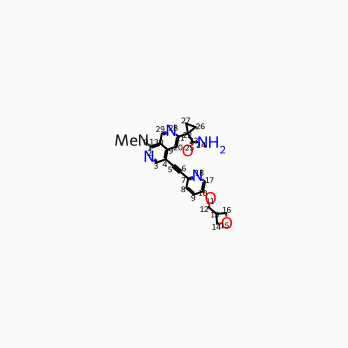 CNc1ncc(C#Cc2ccc(OCC3COC3)cn2)c2cc(C3(C(N)=O)CC3)ncc12